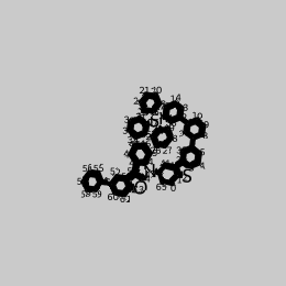 C1=c2sc3ccc(-c4cccc(-c5cccc([Si](c6ccccc6)(c6ccccc6)c6ccccc6)c5)c4)cc3c2=CC(n2c3ccccc3c3c4cc(-c5ccccc5)ccc4oc32)C1